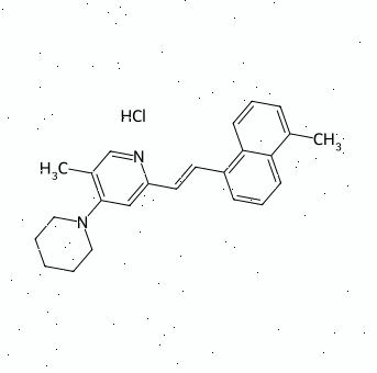 Cc1cnc(C=Cc2cccc3c(C)cccc23)cc1N1CCCCC1.Cl